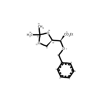 CCOC(=O)[C@@H](OCc1ccccc1)[C@H]1COC(C)(C)O1